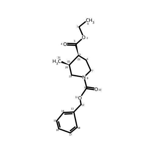 CCOC(=O)[C@H]1CCN(C(=O)OCc2ccccc2)C[C@H]1C